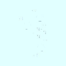 Clc1ccc(Oc2nc(Oc3ccc(Cl)cc3)nc(Oc3ccc(Cl)cc3)n2)cc1